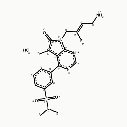 CN(C)S(=O)(=O)c1cccc(-c2ncnc3c2n(C)c(=O)n3C/C(F)=C/CN)c1.Cl